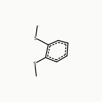 [CH2]Sc1ccccc1SC